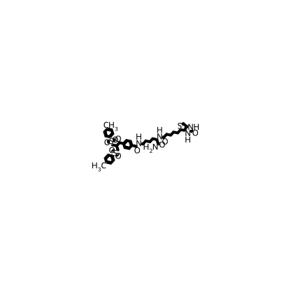 Cc1ccc(S(=O)(=O)CC(CS(=O)(=O)c2ccc(C)cc2)C(=O)c2ccc(C(=O)NCCCCC(NC(=O)CCCCC3SCC4NC(=O)NC43)C(N)=O)cc2)cc1